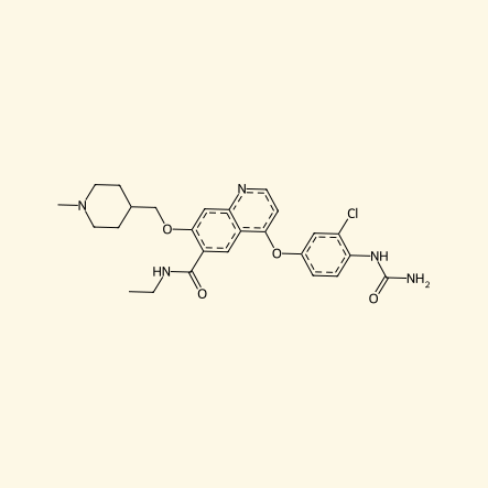 CCNC(=O)c1cc2c(Oc3ccc(NC(N)=O)c(Cl)c3)ccnc2cc1OCC1CCN(C)CC1